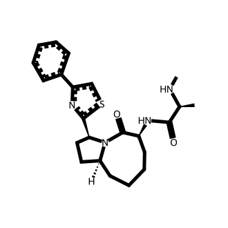 CN[C@@H](C)C(=O)N[C@H]1CCCC[C@H]2CC[C@@H](c3nc(-c4ccccc4)cs3)N2C1=O